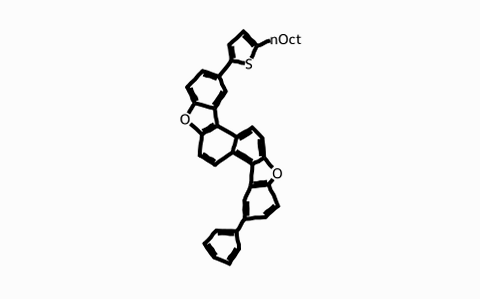 CCCCCCCCc1ccc(-c2ccc3oc4ccc5c(ccc6oc7ccc(-c8ccccc8)cc7c65)c4c3c2)s1